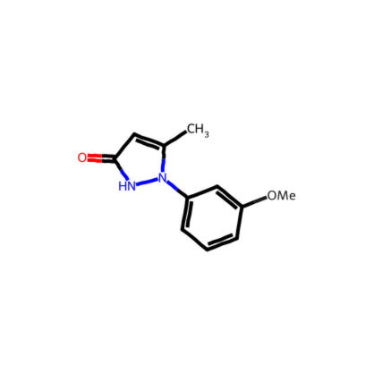 COc1cccc(-n2[nH]c(=O)cc2C)c1